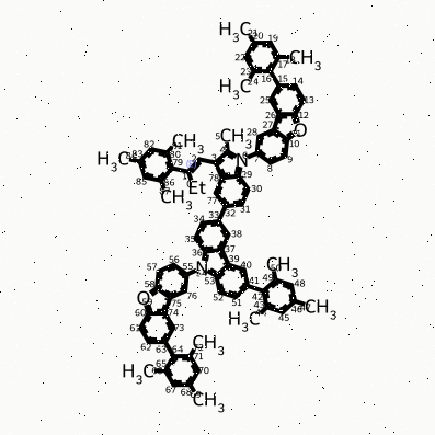 CC/C(=C\c1c(C)n(-c2ccc3oc4ccc(-c5c(C)cc(C)cc5C)cc4c3c2)c2ccc(-c3ccc4c(c3)c3cc(-c5c(C)cc(C)cc5C)ccc3n4-c3ccc4oc5ccc(-c6c(C)cc(C)cc6C)cc5c4c3)cc12)c1c(C)cc(C)cc1C